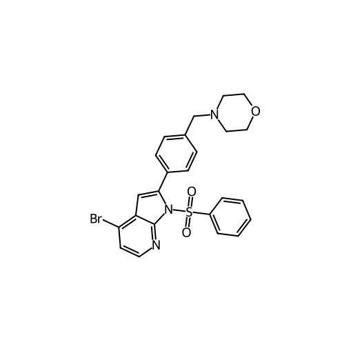 O=S(=O)(c1ccccc1)n1c(-c2ccc(CN3CCOCC3)cc2)cc2c(Br)ccnc21